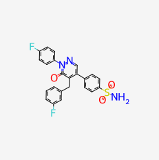 NS(=O)(=O)c1ccc(-c2cnn(-c3ccc(F)cc3)c(=O)c2Cc2cccc(F)c2)cc1